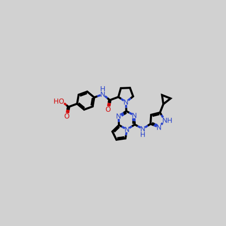 O=C(O)c1ccc(NC(=O)C2CCCN2c2nc(Nc3cc(C4CC4)[nH]n3)n3cccc3n2)cc1